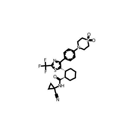 N#CC1(NC(=O)[C@@H]2CCCC[C@H]2c2sc(C(F)(F)F)nc2-c2ccc(N3CCS(=O)(=O)CC3)cc2)CC1